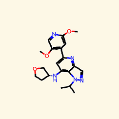 COc1cc(-c2cc(N[C@@H]3CCOC3)c3c(cnn3C(C)C)n2)c(OC)cn1